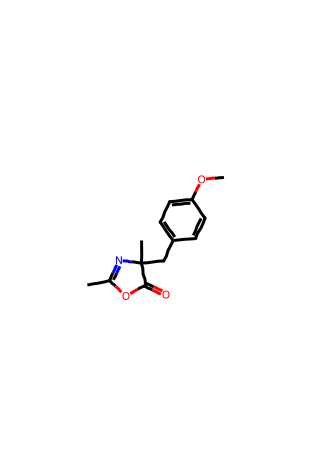 COc1ccc(CC2(C)N=C(C)OC2=O)cc1